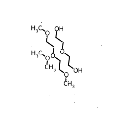 COC.COCCOCCOC.OCCOCCO